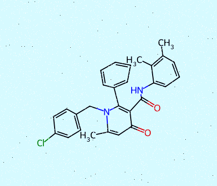 Cc1cccc(NC(=O)c2c(-c3ccccc3)n(Cc3ccc(Cl)cc3)c(C)cc2=O)c1C